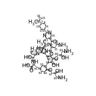 Cc1nc(-c2ccc(C3(C)CC3)cc2)ncc1C(=O)N[C@@H](CCN)C(=O)N(C)[C@@H]1C(=O)N[C@@H](C)C(O)N[C@H](C(=O)O)Cc2ccc(OC[C@H](O)CN)c(c2)-c2cc1cc(OC[C@H](O)CN)c2O